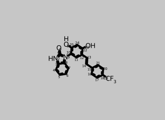 O=c1[nH]c2ccccc2n1-c1cc(C=Cc2ccc(C(F)(F)F)cc2)c(O)cc1O